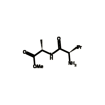 COC(=O)[C@H](C)NC(=O)[C@@H](N)C(C)C